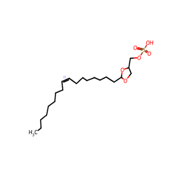 CCCCCCCC/C=C\CCCCCCCC1OCC(COS(=O)(=O)O)O1